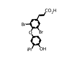 CC(C)c1cc(Oc2c(Br)cc(C=CC(=O)O)cc2Br)ccc1O